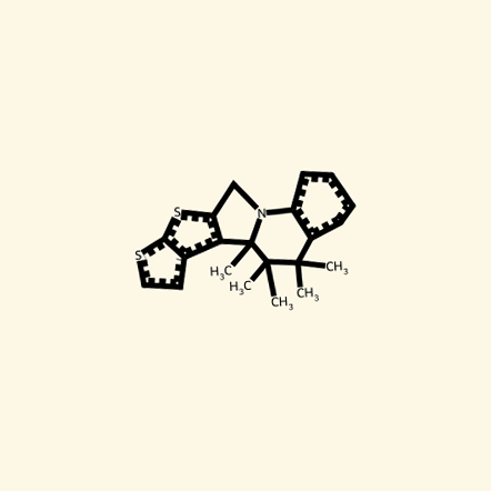 CC1(C)c2ccccc2N2Cc3sc4sccc4c3C2(C)C1(C)C